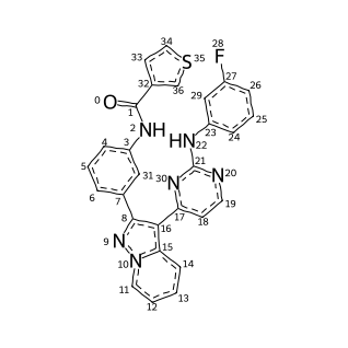 O=C(Nc1cccc(-c2nn3ccccc3c2-c2ccnc(Nc3cccc(F)c3)n2)c1)c1ccsc1